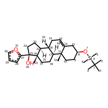 CC(C)(C)[Si](C)(C)O[C@H]1CC[C@@]2(C)C(=CC[C@@H]3[C@@H]2CC[C@@]2(C)[C@H]3CC[C@@]2(O)c2ccco2)C1